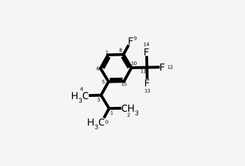 CC(C)C(C)c1ccc(F)c(C(F)(F)F)c1